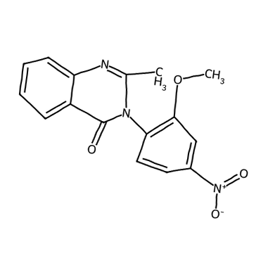 COc1cc([N+](=O)[O-])ccc1-n1c(C)nc2ccccc2c1=O